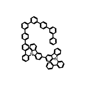 c1ccc(-c2cccc(-c3ccc(-c4cccc(-c5cccc(-c6ccc(-c7ccc(-c8ccccc8-n8c9ccccc9c9cc(-c%10ccc%11c(c%10)c%10ccccc%10n%11-c%10ccccc%10-c%10ccccc%10)ccc98)cc7)cc6)c5)c4)cc3)c2)cc1